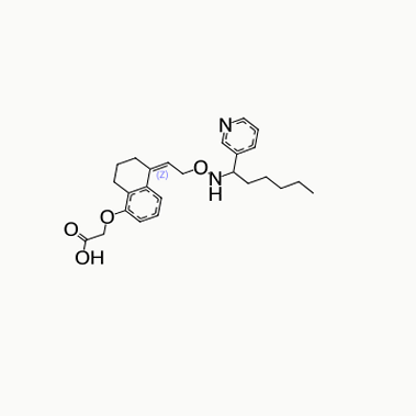 CCCCCC(NOC/C=C1/CCCc2c(OCC(=O)O)cccc21)c1cccnc1